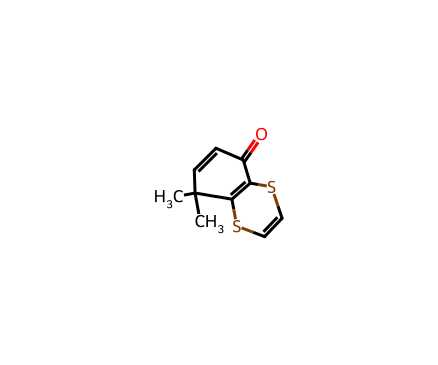 CC1(C)C=CC(=O)C2=C1SC=CS2